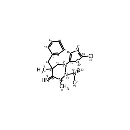 CN1C(=N)C(C)(Cc2ccccc2)CN(c2cnc(Cl)s2)N1[N+](=O)[O-]